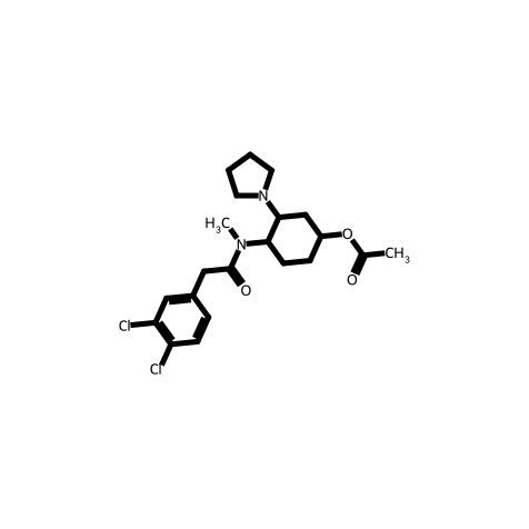 CC(=O)OC1CCC(N(C)C(=O)Cc2ccc(Cl)c(Cl)c2)C(N2CCCC2)C1